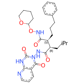 CC(C)C[C@@H](C(=O)Nn1c(=O)[nH]c2ncccc2c1=O)[C@H](CCCc1ccccc1)C(=O)NOC1CCCCO1